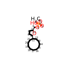 COP(=O)(O)OC[C@@H]1CC[C@H](C2CCCCCCCCCC2)O1